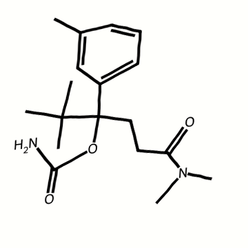 Cc1cccc(C(CCC(=O)N(C)C)(OC(N)=O)C(C)(C)C)c1